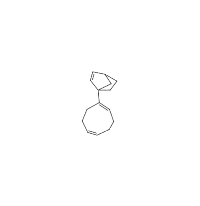 C1=CCCC(C23C=CC(CC2)C3)=CCC1